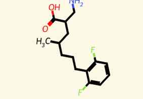 CC(CCCc1c(F)cccc1F)CC(CN)C(=O)O